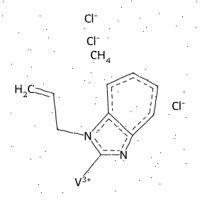 C.C=CCn1[c]([V+3])nc2ccccc21.[Cl-].[Cl-].[Cl-]